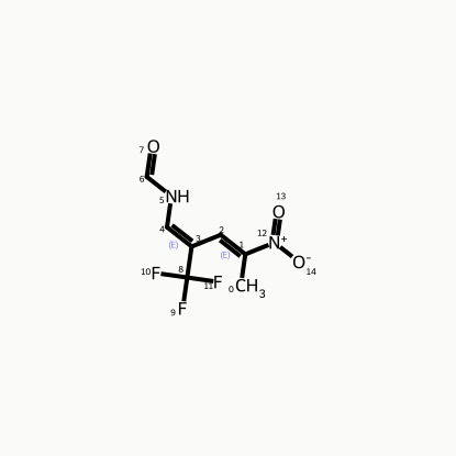 C/C(=C\C(=C/NC=O)C(F)(F)F)[N+](=O)[O-]